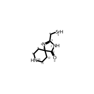 O=C1NC([CH2][SrH])=NC12CCNCC2